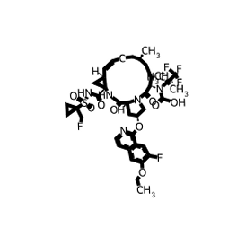 CCOc1cc2ccnc(O[C@@H]3C[C@H]4C(=O)N[C@]5(C(=O)NS(=O)(=O)C6(CF)CC6)C[C@H]5/C=C\CC[C@@H](C)C[C@@H](C)[C@H](N(C(=O)O)C(C)(C)C(F)(F)F)C(=O)N4C3)c2cc1F